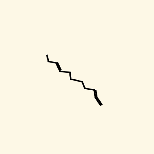 [CH]=C=CCCCCC=CCC